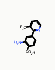 Nc1cc(-c2ncccc2C(F)(F)F)ccc1C(=O)O